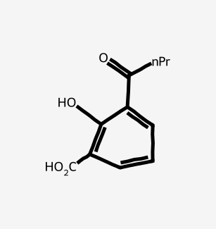 CCCC(=O)c1cccc(C(=O)O)c1O